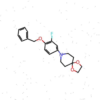 Fc1cc(N2CCC3(CC2)OCCO3)ccc1OCc1ccccc1